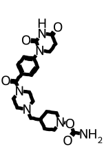 NC(=O)ON1CCC(CN2CCN(C(=O)c3ccc(N4CCC(=O)NC4=O)cc3)CC2)CC1